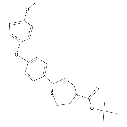 COc1ccc(Oc2ccc(C3CCN(C(=O)OC(C)(C)C)CCS3)cc2)cc1